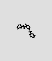 Cc1ccc(C(C)(C)c2ccccc2)cc1C(C)(C)c1ccccc1